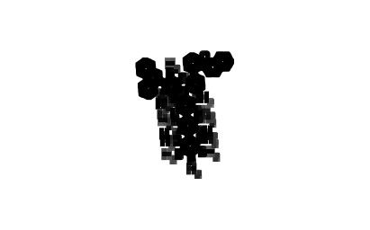 Bc1c(B)c(B)c(-c2c(B)c(B)c(-c3c(B)c(B)c(N(c4cccc(-c5cccc6oc7c8ccccc8ccc7c56)c4)c4c(B)c(B)c(-c5cc6ccccc6c6ccccc56)c(B)c4B)c(B)c3B)c(B)c2B)c(B)c1B